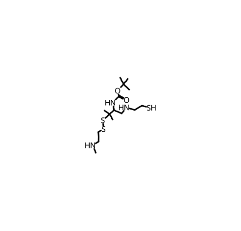 CNCCSSC(C)(C)C(CNCCS)NC(=O)OC(C)(C)C